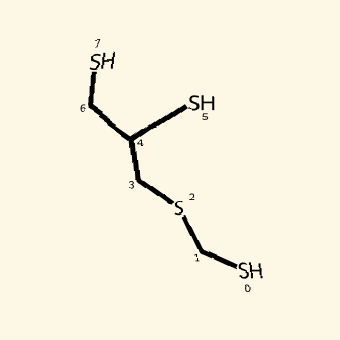 SCSCC(S)CS